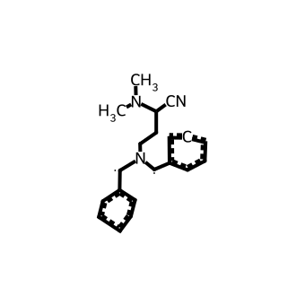 CN(C)C(C#N)CCN([CH]c1ccccc1)[CH]c1ccccc1